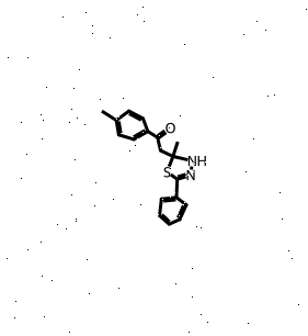 Cc1ccc(C(=O)CC2(C)NN=C(c3ccccc3)S2)cc1